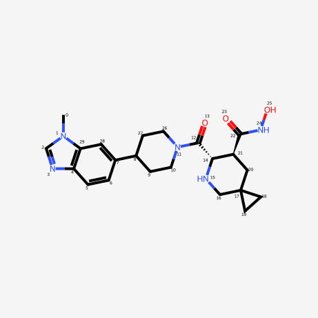 Cn1cnc2ccc(C3CCN(C(=O)[C@H]4NCC5(CC5)C[C@@H]4C(=O)NO)CC3)cc21